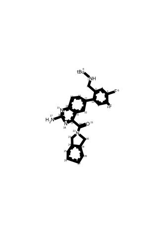 CC(C)(C)NCc1cc(F)c(F)cc1-c1ccc2nc(N)nc(C(=O)N3Cc4ccccc4C3)c2c1